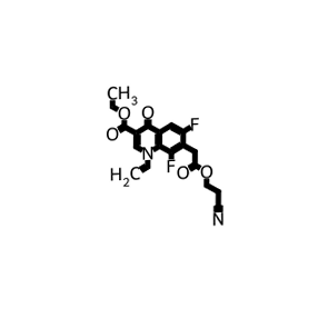 C=Cn1cc(C(=O)OCC)c(=O)c2cc(F)c(CC(=O)OCCC#N)c(F)c21